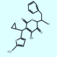 CCC(Cc1ccccc1)C1OC(=O)C(C(c2ccc(C)s2)C2CC2)=C(O)C1=O